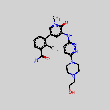 Cc1c(C(N)=O)cccc1-c1cc(Nc2ccc(N3CCN(CCO)CC3)nn2)c(=O)n(C)c1